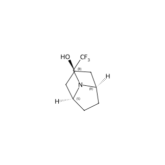 O[C@H]1C[C@H]2CC[C@@H](C1)N2CC(F)(F)F